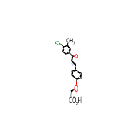 Cc1cc(C(=O)/C=C/c2ccc(OCC(=O)O)cc2)ccc1Cl